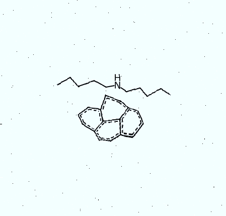 CCCCCNCCCCC.c1cc2ccc3cccc4ccc(c1)c2c34